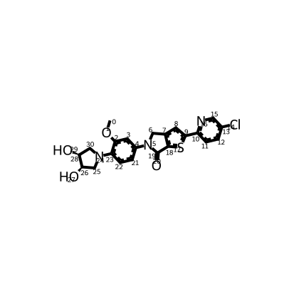 COc1cc(N2Cc3cc(-c4ccc(Cl)cn4)sc3C2=O)ccc1N1C[C@@H](O)[C@@H](O)C1